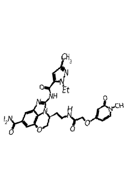 CCn1nc(C)cc1C(=O)Nc1nc2cc(C(N)=O)cc3c2n1[C@@H](CCNC(=O)COc1ccn(C)c(=O)c1)CO3